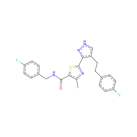 Cc1nc(-c2n[nH]cc2CCc2ccc(F)cc2)sc1C(=O)NCc1ccc(F)cc1